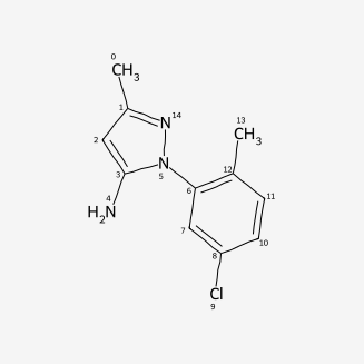 Cc1cc(N)n(-c2cc(Cl)ccc2C)n1